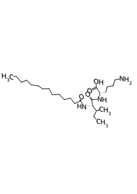 CCCCCCCCCCCCCC(=O)N[C@H](C(=O)N[C@@H](CCCCN)C(=O)O)[C@@H](C)CC